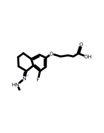 CN/N=C1\CCCc2cc(OCCCC(=O)O)cc(F)c21